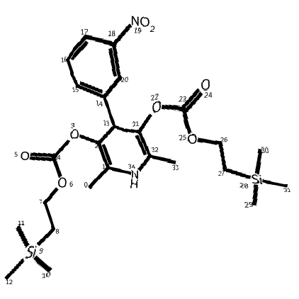 CC1=C(OC(=O)OCC[Si](C)(C)C)C(c2cccc([N+](=O)[O-])c2)C(OC(=O)OCC[Si](C)(C)C)=C(C)N1